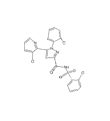 O=C(NS(=O)(=O)c1ccccc1Cl)c1cc(-c2ncccc2Cl)n(-c2ccccc2Cl)n1